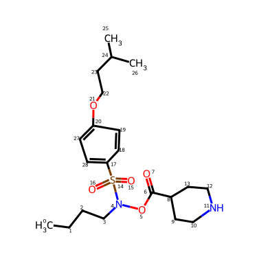 CCCCN(OC(=O)C1CCNCC1)S(=O)(=O)c1ccc(OCCC(C)C)cc1